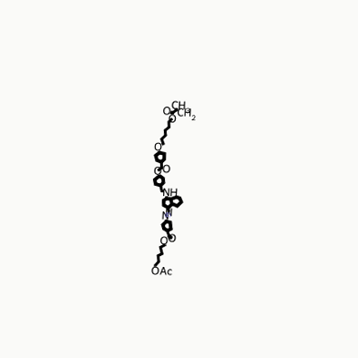 C=C(C)C(=O)OCCCCCCOc1ccc(C(=O)Oc2ccc(CNc3ccc(/N=N/c4ccc(C(=O)OCCCCCCOC(C)=O)cc4)c4ccccc34)cc2)cc1